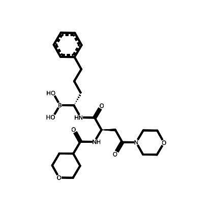 O=C(N[C@H](CC(=O)N1CCOCC1)C(=O)N[C@@H](CCCc1ccccc1)B(O)O)C1CCOCC1